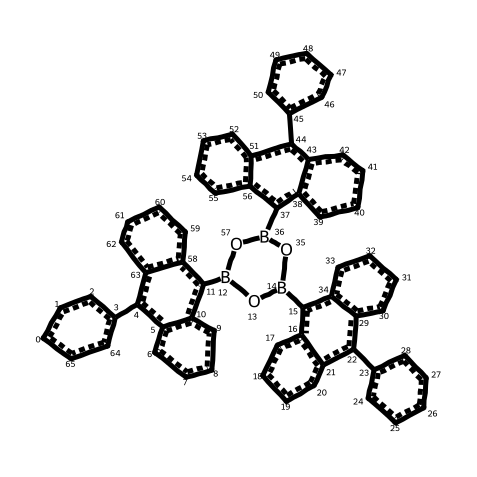 c1ccc(-c2c3ccccc3c(B3OB(c4c5ccccc5c(-c5ccccc5)c5ccccc45)OB(c4c5ccccc5c(-c5ccccc5)c5ccccc45)O3)c3ccccc23)cc1